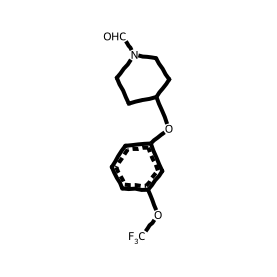 O=CN1CCC(Oc2cccc(OC(F)(F)F)c2)CC1